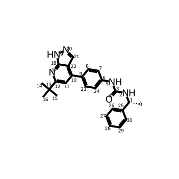 C[C@@H](NC(=O)Nc1ccc(-c2cc(C(C)(C)C)nc3[nH]ncc23)cc1)c1ccccc1